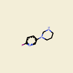 Ic1ccc(N2CCCNC2)cn1